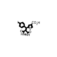 O=C1NNC(=O)C1=C(c1ccc(I)cc1)c1cc(C(=O)O)cs1